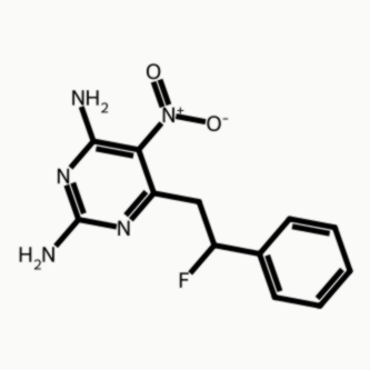 Nc1nc(N)c([N+](=O)[O-])c(CC(F)c2ccccc2)n1